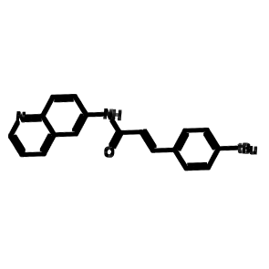 CC(C)(C)c1ccc(/C=C/C(=O)Nc2ccc3ncccc3c2)cc1